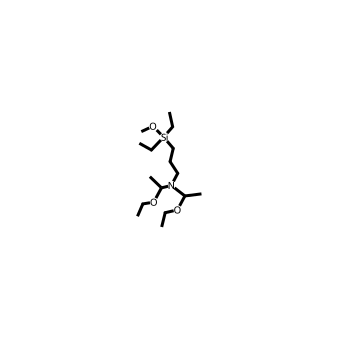 CCOC(C)N(CCC[Si](CC)(CC)OC)C(C)OCC